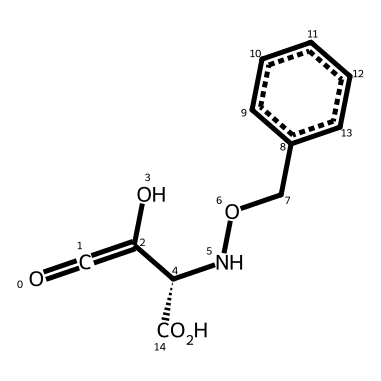 O=C=C(O)[C@H](NOCc1ccccc1)C(=O)O